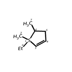 CCS1(C)C=CCC1C